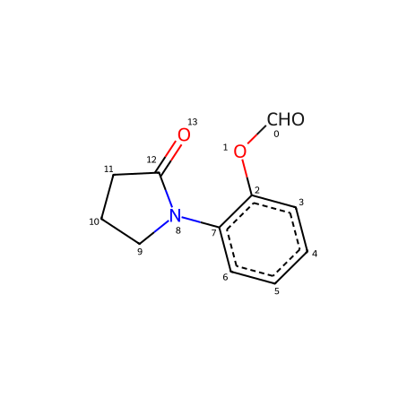 O=COc1ccccc1N1CCCC1=O